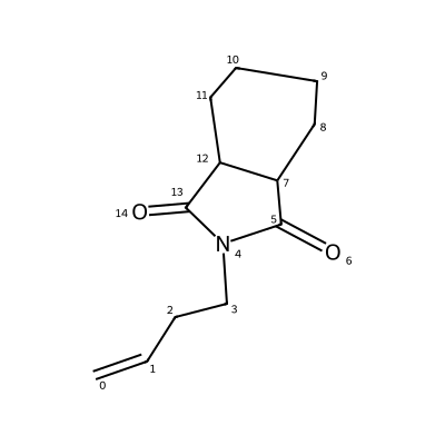 C=CCCN1C(=O)C2CCCCC2C1=O